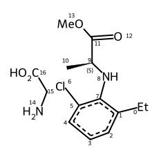 CCc1cccc(Cl)c1N[C@@H](C)C(=O)OC.NCC(=O)O